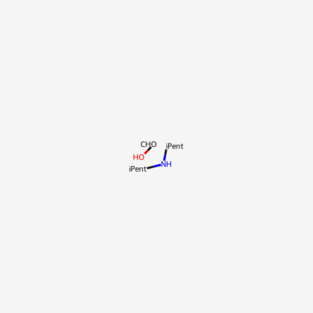 CCCC(C)NC(C)CCC.O=CO